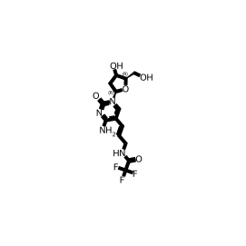 Nc1nc(=O)n([C@H]2CC(O)[C@@H](CO)O2)cc1C=CCNC(=O)C(F)(F)F